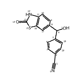 N#Cc1ccc(C(O)c2ccc3[nH]c(=O)sc3c2)cc1